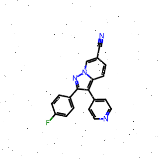 N#Cc1ccc2c(-c3ccncc3)c(-c3ccc(F)cc3)nn2c1